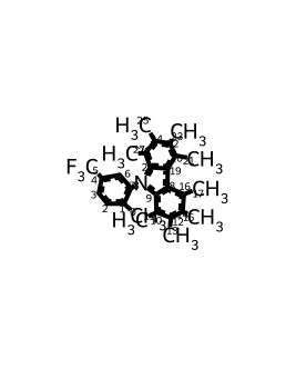 Cc1ccc(C(F)(F)F)cc1-n1c2c(C)c(C)c(C)c(C)c2c2c(C)c(C)c(C)c(C)c21